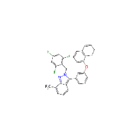 Fc1cc(F)c(Cn2nc3c(C(F)(F)F)cccc3c2-c2cccc(Oc3cccc4c3CCC=C4)c2)c(F)c1